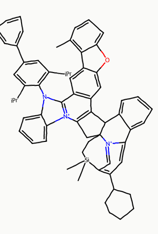 Cc1cccc2oc3cc4c5c([n+]6c7ccccc7n(-c7c(C(C)C)cc(-c8ccccc8)cc7C(C)C)c6c4cc3c12)CC12CC[Si](C)(C)c3c[n+]1c(cc3C1CCCCC1)-c1ccccc1C52